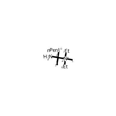 CCCCCC(C)(N)[N+](C)(CC)CC